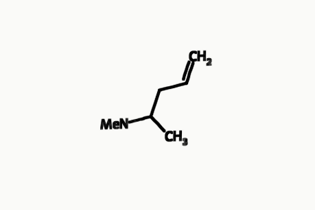 C=CCC(C)NC